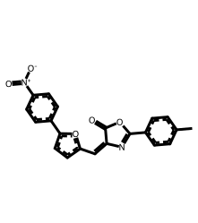 Cc1ccc(C2=NC(=Cc3ccc(-c4ccc([N+](=O)[O-])cc4)o3)C(=O)O2)cc1